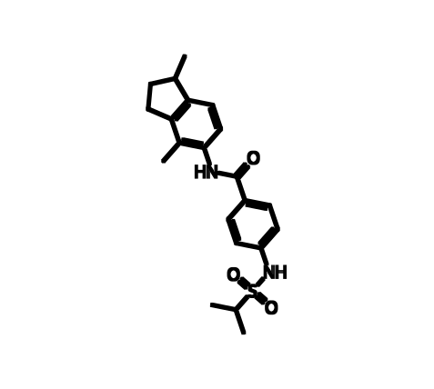 Cc1c(NC(=O)c2ccc(NS(=O)(=O)C(C)C)cc2)ccc2c1CCC2C